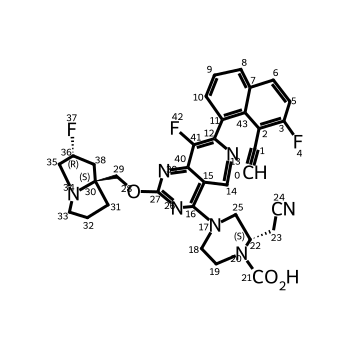 C#Cc1c(F)ccc2cccc(-c3ncc4c(N5CCN(C(=O)O)[C@@H](CC#N)C5)nc(OC[C@@]56CCCN5C[C@H](F)C6)nc4c3F)c12